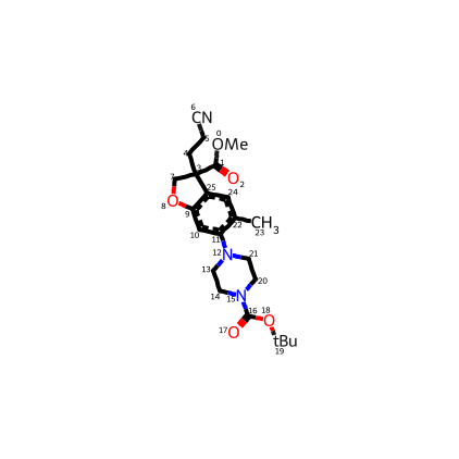 COC(=O)C1(CCC#N)COc2cc(N3CCN(C(=O)OC(C)(C)C)CC3)c(C)cc21